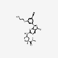 CNC(=O)[C@]1(C)CC[C@@H](Nc2ncc3c(Br)nn(-c4cc(C#N)cc(OCCO)c4)c3n2)C1